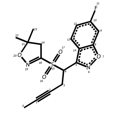 CC#CCC(c1noc2cc(F)ccc12)S(=O)(=O)C1=NOC(C)(C)C1